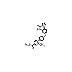 CNC(=O)c1ccc(C2=CCN(Cc3ccc4c(c3)[nH]c(=O)c3cccn34)CC2)c(C)n1